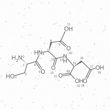 N[C@@H](CO)C(=O)N[C@@H](CC(=O)O)C(=O)N[C@@H](CC(=O)O)C(=O)O